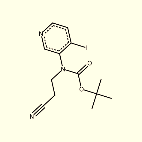 CC(C)(C)OC(=O)N(CCC#N)c1cnccc1I